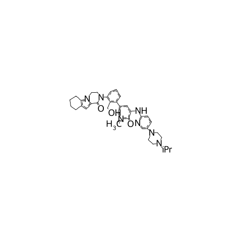 CC(C)N1CCN(c2ccc(Nc3cc(-c4cccc(N5CCn6c(cc7c6CCCC7)C5=O)c4CO)cn(C)c3=O)nc2)CC1